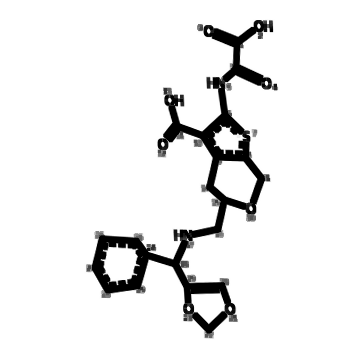 O=C(O)C(=O)Nc1sc2c(c1C(=O)O)CC(CNC(C1=COCO1)c1ccccc1)OC2